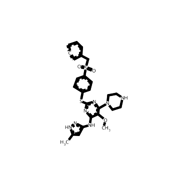 COc1c(Nc2cc(C)[nH]n2)nc(Sc2ccc(S(=O)(=O)Cc3ccccc3)cc2)nc1N1CCNCC1